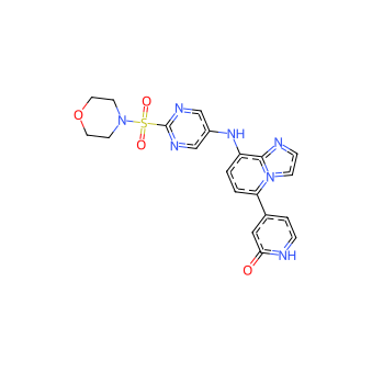 O=c1cc(-c2ccc(Nc3cnc(S(=O)(=O)N4CCOCC4)nc3)c3nccn23)cc[nH]1